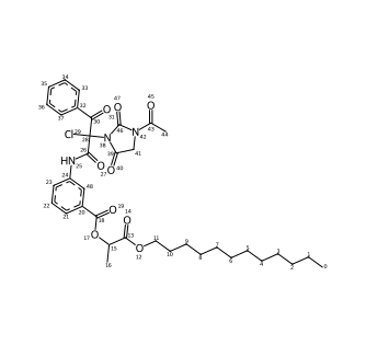 CCCCCCCCCCCCOC(=O)C(C)OC(=O)c1cccc(NC(=O)C(Cl)(C(=O)c2ccccc2)N2C(=O)CN(C(C)=O)C2=O)c1